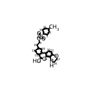 Cc1ccc(S(=O)(=O)OCCc2ccc(C(=O)O)c(-c3ccc4c(c3)NCCO4)c2)cc1